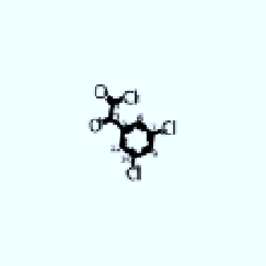 O=C(Cl)C(=O)c1cc(Cl)cc(Cl)c1